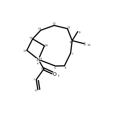 C=CC(=O)[N+]12CCCC(C)(I)CCCC(C1)C2